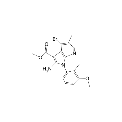 COC(=O)c1c(N)n(-c2c(C)ccc(OC)c2C)c2ncc(C)c(Br)c12